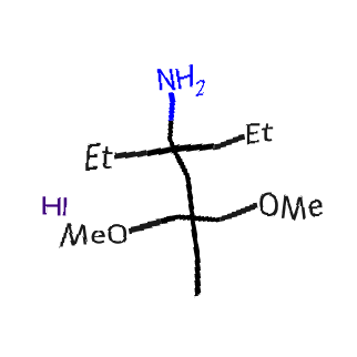 CCC(N)(CC)C(C)(OC)OC.I